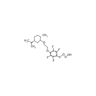 CC(C)[C@H]1CC[C@H](C)C(OCCOc2c(F)c(F)c(SOOO)c(F)c2F)C1